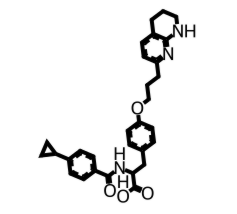 O=C(NC(Cc1ccc(OCCCc2ccc3c(n2)NCCC3)cc1)C(=O)O)c1ccc(C2CC2)cc1